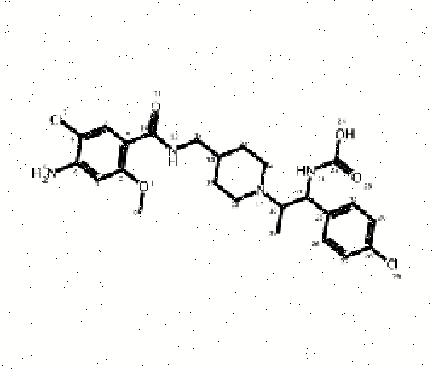 COc1cc(N)c(Cl)cc1C(=O)NCC1CCN(C(C)C(NC(=O)O)c2ccc(Cl)cc2)CC1